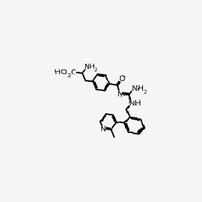 Cc1ncccc1-c1ccccc1CNC(N)=NC(=O)c1ccc(CC(N)C(=O)O)cc1